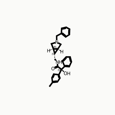 Cc1ccc([C@](O)(C(=O)NC[C@@H]2[C@H]3CN(Cc4ccccc4)C[C@@H]23)c2ccccc2)cc1